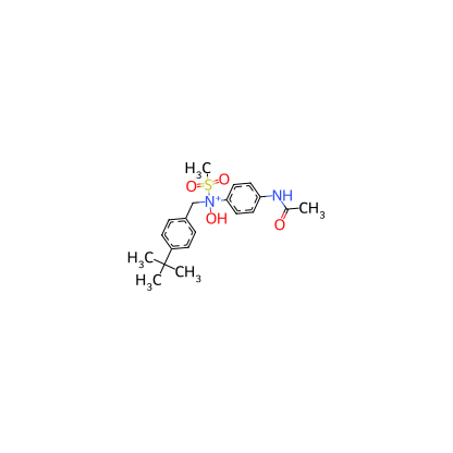 CC(=O)Nc1ccc([N+](O)(Cc2ccc(C(C)(C)C)cc2)S(C)(=O)=O)cc1